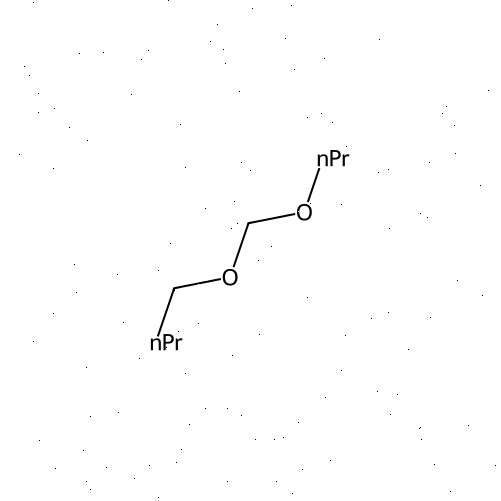 [CH2]CCCOCOCCC